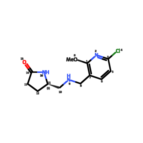 COc1nc(Cl)ccc1CNC[C@@H]1CCC(=O)N1